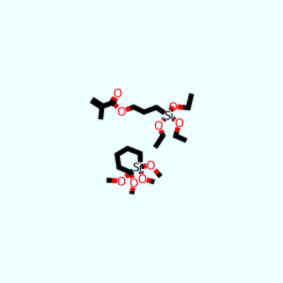 C=C(C)C(=O)OCCC[Si](OCC)(OCC)OCC.COC1(OC)CCCC[Si]1(OC)OC